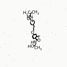 CC(C)c1noc(N2CCC(CCCOc3ccc(C(=O)NC[C@@H](C)O)c(F)c3)CC2)n1